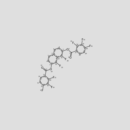 O=C(Oc1ccc2ccc(OC(=O)c3ccc(F)c(F)c3F)c(F)c2c1F)c1ccc(F)c(F)c1F